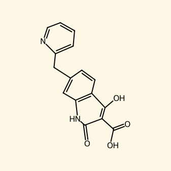 O=C(O)c1c(O)c2ccc(Cc3ccccn3)cc2[nH]c1=O